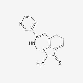 CC1C(=S)C2=CCCC3=C2N1CNC(c1cccnc1)=C3